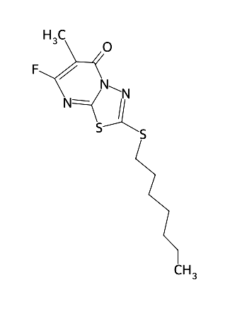 CCCCCCCSc1nn2c(=O)c(C)c(F)nc2s1